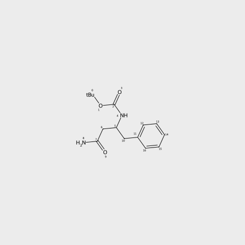 CC(C)(C)OC(=O)NC(CC(N)=O)Cc1ccccc1